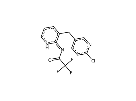 O=C(N=c1[nH]cccc1Cc1ccc(Cl)nc1)C(F)(F)F